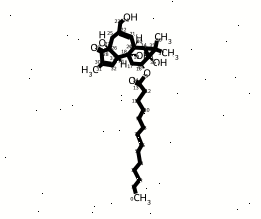 CCCCCCCCCCCCCC(=O)O[C@@H]1C[C@@]2(O)[C@@H](C=C(CO)C[C@]3(O)C(=O)C(C)=C[C@@H]23)C2C(C)(C)[C@@]21O